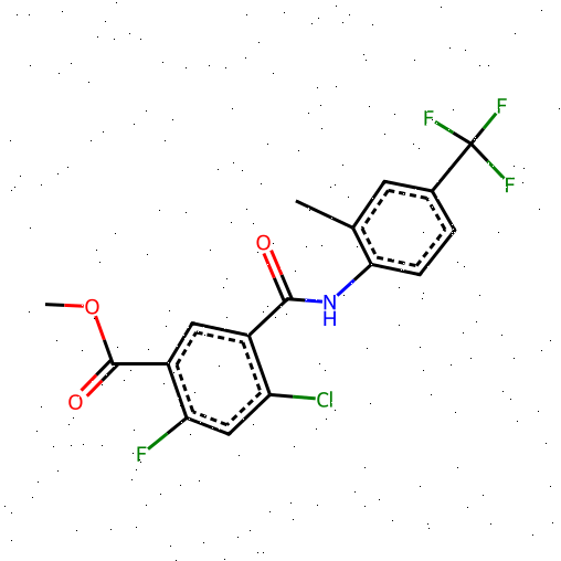 COC(=O)c1cc(C(=O)Nc2ccc(C(F)(F)F)cc2C)c(Cl)cc1F